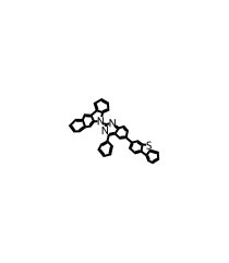 c1ccc(-c2nc(-n3c4ccccc4c4cc5ccccc5cc43)nc3ccc(-c4ccc5c(c4)sc4ccccc45)cc23)cc1